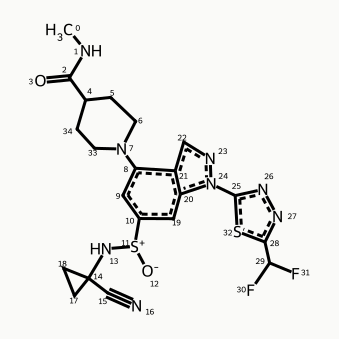 CNC(=O)C1CCN(c2cc([S+]([O-])NC3(C#N)CC3)cc3c2cnn3-c2nnc(C(F)F)s2)CC1